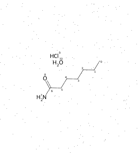 CCCCCCC(N)=O.Cl.O